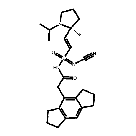 CC(C)N1CCC[C@@]1(C)/C=C/S(=O)(=NC#N)NC(=O)Cc1c2c(cc3c1CCC3)CCC2